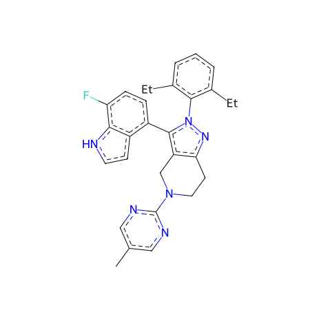 CCc1cccc(CC)c1-n1nc2c(c1-c1ccc(F)c3[nH]ccc13)CN(c1ncc(C)cn1)CC2